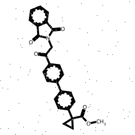 COC(=O)C1(c2ccc(-c3ccc(C(=O)CN4C(=O)c5ccccc5C4=O)cc3)cc2)CC1